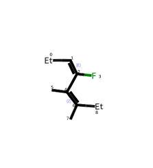 CC/C=C(F)\C(C)=C(\C)CC